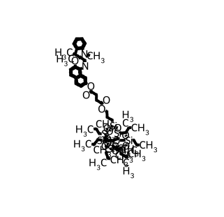 CC(C)C[Si]12C[Si]3(CC(C)C)O[Si]4(CC(C)C)O[Si](CCCOC(=O)CCC(=O)Oc5ccc6ccc7c(c6c5)N=CC5(O7)N(C)c6ccccc6C5(C)C)(O1)O[Si]1(CC(C)C)O[Si](CC(C)C)(O2)O[Si](CC(C)C)(O3)O[Si](CC(C)C)(O4)O1